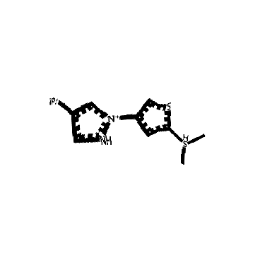 CC(C)c1c[nH][n+](-c2csc([SH](C)C)c2)c1